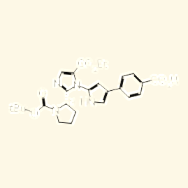 CCOC(=O)c1cnc([C@@H]2CCCN2C(=O)OC(C)(C)C)n1-c1cc(-c2ccc(C(=O)O)cc2)c[nH]1